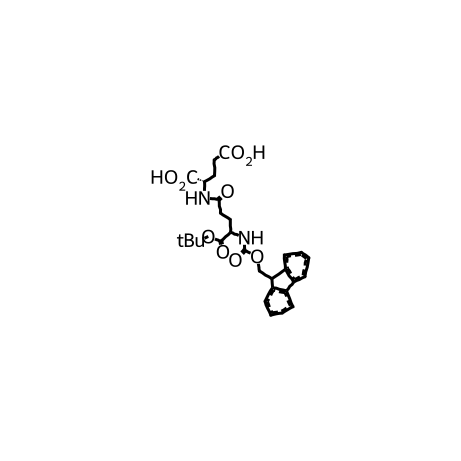 CC(C)(C)OC(=O)C(CCC(=O)N[C@@H](CCC(=O)O)C(=O)O)NC(=O)OCC1c2ccccc2-c2ccccc21